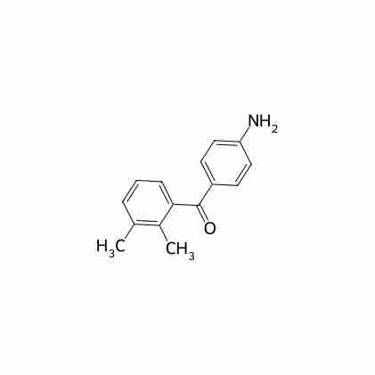 Cc1cccc(C(=O)c2ccc(N)cc2)c1C